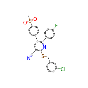 CS(=O)(=O)c1ccc(-c2cc(C#N)c(SCc3cccc(Cl)c3)nc2-c2ccc(F)cc2)cc1